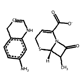 CC1C(=O)N2C(C(=O)[O-])=CCS[C@@H]12.Nc1ccc2c(c1)NC=[C+]C2